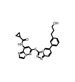 O=C(Nc1cc(Sc2nnc3ccc(-c4cccc(CCCO)c4)cn23)nn2ccnc12)C1CC1